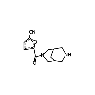 N#Cc1ccc(C(=O)N2CC3CNCC(C3)C2)o1